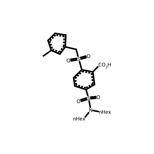 CCCCCCN(CCCCCC)S(=O)(=O)c1ccc(S(=O)(=O)Cc2cccc(C)c2)c(C(=O)O)c1